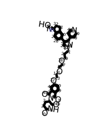 O=C1CCC(N2C(=O)c3ccc(OCCOCCOCCCn4cc(-c5ccc6c(c5)CC/C6=N\O)c(-c5ccncc5)n4)cc3C2=O)C(=O)N1